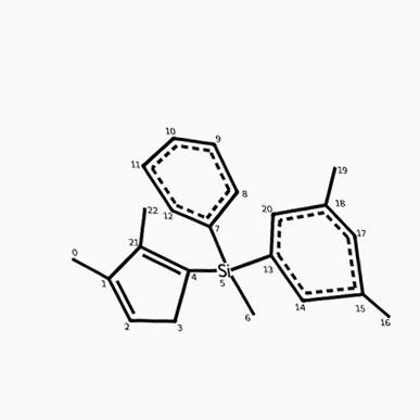 CC1=CCC([Si](C)(c2ccccc2)c2cc(C)cc(C)c2)=C1C